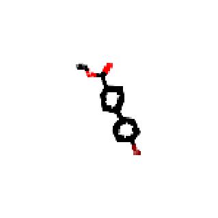 CC(C)(C)OC(=O)c1ccc(-c2ccc(Br)cc2)cc1